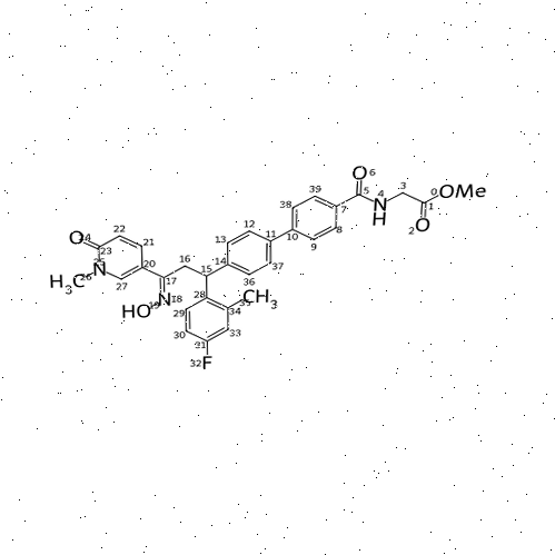 COC(=O)CNC(=O)c1ccc(-c2ccc(C(CC(=NO)c3ccc(=O)n(C)c3)c3ccc(F)cc3C)cc2)cc1